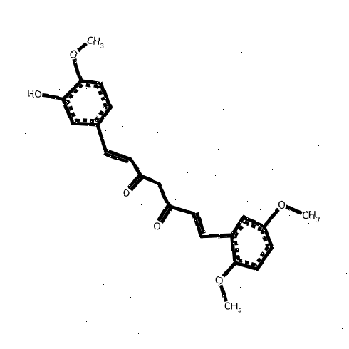 COc1ccc(OC)c(/C=C/C(=O)CC(=O)/C=C/c2ccc(OC)c(O)c2)c1